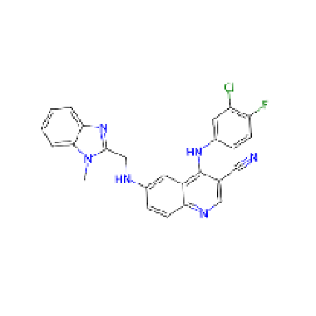 Cn1c(CNc2ccc3ncc(C#N)c(Nc4ccc(F)c(Cl)c4)c3c2)nc2ccccc21